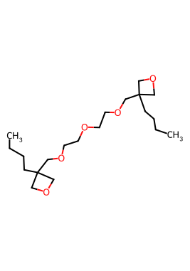 CCCCC1(COCCOCCOCC2(CCCC)COC2)COC1